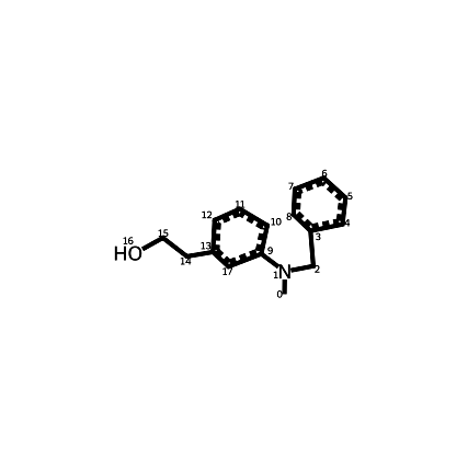 CN(Cc1ccccc1)c1cccc(CCO)c1